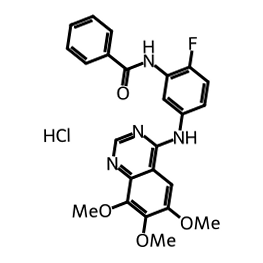 COc1cc2c(Nc3ccc(F)c(NC(=O)c4ccccc4)c3)ncnc2c(OC)c1OC.Cl